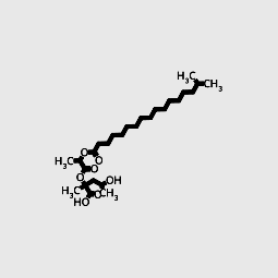 CC(C)CCCCCCCCCCCCCCC(=O)OC(C)C(=O)OC(C)(CC(C)O)C(=O)O